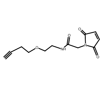 C#CCCOCCNC(=O)CN1C(=O)C=CC1=O